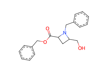 O=C(OCc1ccccc1)C1CC(CO)N1Cc1ccccc1